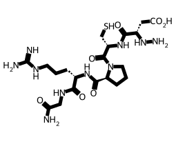 N=C(N)NCCC[C@H](NC(=O)[C@@H]1CCCN1C(=O)[C@H](CS)NC(=O)[C@H](CC(=O)O)NN)C(=O)NCC(N)=O